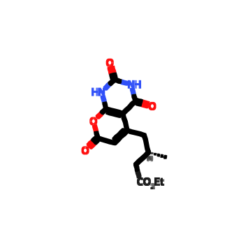 CCOC(=O)C[C@@H](C)Cc1cc(=O)oc2[nH]c(=O)[nH]c(=O)c12